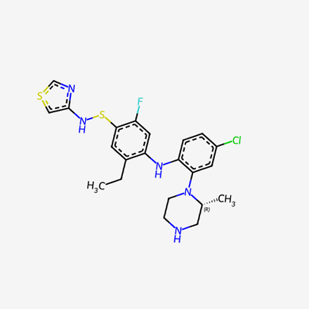 CCc1cc(SNc2cscn2)c(F)cc1Nc1ccc(Cl)cc1N1CCNC[C@H]1C